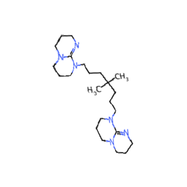 CC(C)(CCCN1CCCN2CCCN=C21)CCCN1CCCN2CCCN=C21